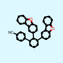 N#Cc1ccc(-c2cccc(-c3ccc4oc5ccccc5c4c3)c2-c2ccc3oc4ccccc4c3c2)cc1